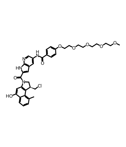 COCCOCCOCCOCCOc1ccc(C(=O)Nc2cnc3[nH]c(C(=O)N4C[C@@H](CCl)c5c4cc(O)c4cccc(C)c54)cc3c2)cc1